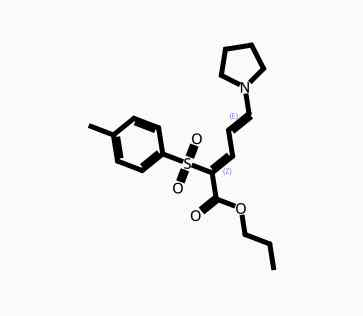 CCCOC(=O)/C(=C/C=C/N1CCCC1)S(=O)(=O)c1ccc(C)cc1